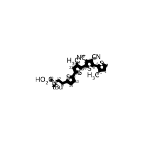 Cc1ccsc1-c1sc(-c2sc(-c3ccc(CCN(C(=O)O)C(C)(C)C)s3)cc2C)c(C#N)c1C#N